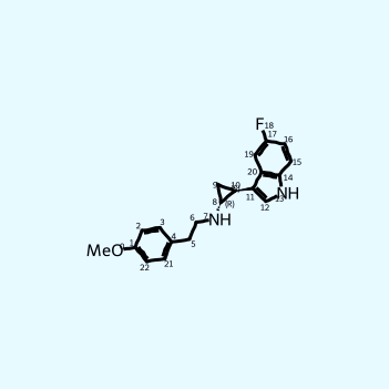 COc1ccc(CCN[C@@H]2C[C@H]2c2c[nH]c3ccc(F)cc23)cc1